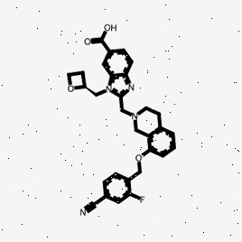 N#Cc1ccc(COc2cccc3c2CN(Cc2nc4ccc(C(=O)O)cc4n2C[C@@H]2CCO2)CC3)c(F)c1